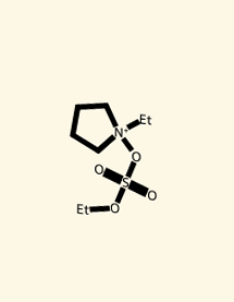 CCOS(=O)(=O)O[N+]1(CC)CCCC1